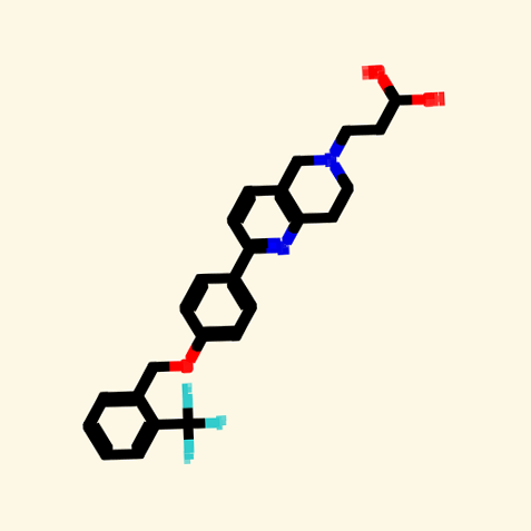 OC(O)CCN1CCc2nc(-c3ccc(OCc4ccccc4C(F)(F)F)cc3)ccc2C1